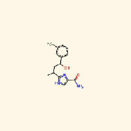 CC(CC(O)c1cccc(C(F)(F)F)c1)c1nc(C(N)=O)c[nH]1